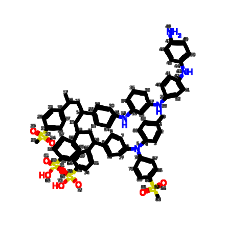 Cc1ccc(N(c2ccc(C(CC(CC(CC(C)c3ccc(S(C)(=O)=O)cc3)c3ccc(Nc4cccc(Nc5ccc(Nc6ccc(N)cc6)cc5)c4)cc3)c3ccc(S(=O)(=O)O)cc3)c3ccc(S(=O)(=O)O)cc3)cc2)c2ccc(S(C)(=O)=O)cc2)cc1